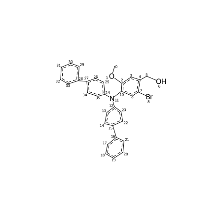 COc1cc(CO)c(Br)cc1N(c1ccc(-c2ccccc2)cc1)c1ccc(-c2ccccc2)cc1